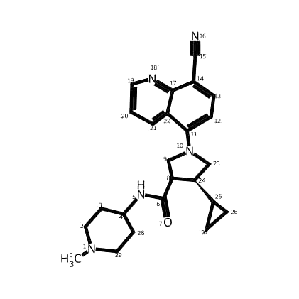 CN1CCC(NC(=O)C2CN(c3ccc(C#N)c4ncccc34)C[C@H]2C2CC2)CC1